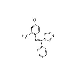 Cc1cc(Cl)ccc1/N=C(/c1ccccc1)n1ccnc1